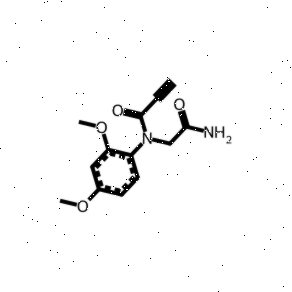 C#CC(=O)N(CC(N)=O)c1ccc(OC)cc1OC